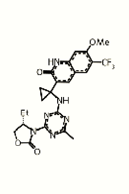 CC[C@H]1COC(=O)N1c1nc(C)nc(NC2(c3cc4cc(C(F)(F)F)c(OC)cc4[nH]c3=O)CC2)n1